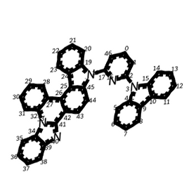 c1cc(-n2c3ccccc3c3ccccc32)nc(-n2c3ccccc3c3c4c5ccccc5n5c6ccccc6nc5c4ccc32)c1